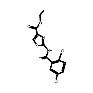 CCOC(=O)c1csc(NC(=O)c2cc(Cl)ccc2Cl)n1